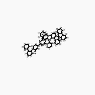 C1=CCC(c2nc(-c3ccccc3)nc(-c3ccc4c(c3)oc3cccc(-c5ccccc5)c34)n2)C(n2c3ccccc3c3ccc4c(c32)-c2ccccc2C42c3ccccc3-c3ccccc32)=C1